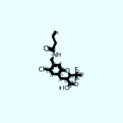 CCCC(=O)NCc1cc2c(cc1Cl)C=C(C(=O)O)C(C(F)(F)F)O2